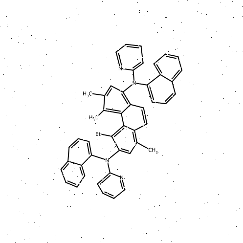 CCc1c(N(c2ccccn2)c2cccc3ccccc23)cc(C)c2ccc3c(N(c4ccccn4)c4cccc5ccccc45)cc(C)c(C)c3c12